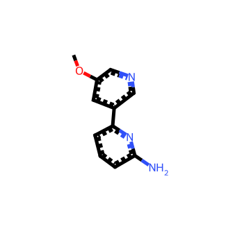 COc1cncc(-c2cccc(N)n2)c1